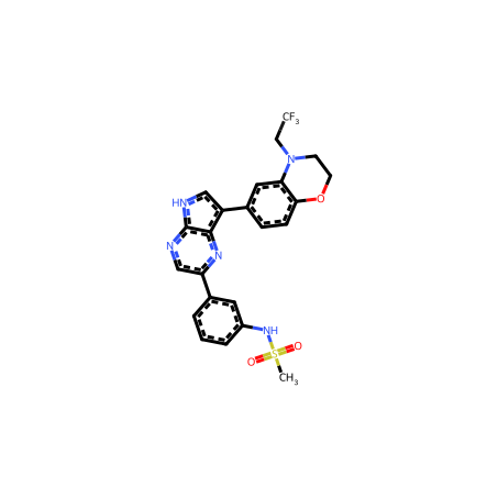 CS(=O)(=O)Nc1cccc(-c2cnc3[nH]cc(-c4ccc5c(c4)N(CC(F)(F)F)CCO5)c3n2)c1